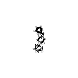 c1ccc(CN2CCN(c3ncncn3)CC2)cc1